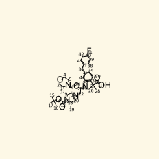 C[C@@H]1COCCN1C[C@H]1CN(C(=O)OC(C)(C)C)[C@H](C)CN1CC(=O)N1CC(C)(C(=O)O)c2ccc(Cc3ccc(F)cc3)cc21